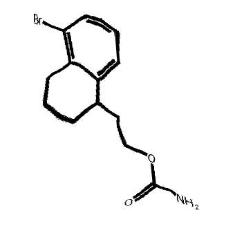 NC(=O)OCCC1CCCc2c(Br)cccc21